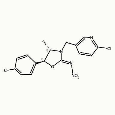 C[C@H]1[C@H](c2ccc(Cl)cc2)OC(=N[N+](=O)[O-])N1Cc1ccc(Cl)nc1